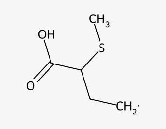 [CH2]CC(SC)C(=O)O